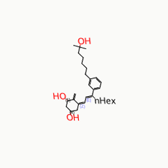 C=C1/C(=C\C=C(/CCCCCC)c2cccc(CCCCCC(C)(C)O)c2)C[C@@H](O)C[C@@H]1O